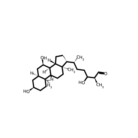 C[C@H](C=O)C(O)CC[C@@H](C)[C@H]1CC[C@H]2[C@@H]3[C@H](O)C[C@@H]4C[C@H](O)CC[C@]4(C)[C@H]3CC[C@]12C